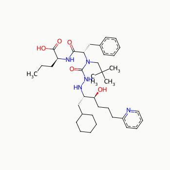 CCC[C@H](NC(=O)[C@H](Cc1ccccc1)N(CC(C)(C)C)C(=O)NN[C@@H](CC1CCCCC1)[C@@H](O)CCCc1ccccn1)C(=O)O